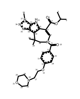 CC(C)OC(=O)C1=CN(C(=O)c2ccc(OCCN3CCOCC3)cc2)CC(C)(C)c2c1[nH]c1c2nnn1C